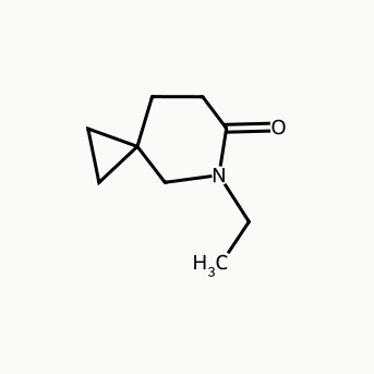 CCN1CC2(CCC1=O)CC2